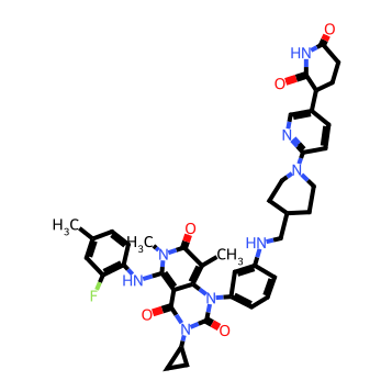 Cc1ccc(Nc2c3c(=O)n(C4CC4)c(=O)n(-c4cccc(NCC5CCN(c6ccc(C7CCC(=O)NC7=O)cn6)CC5)c4)c3c(C)c(=O)n2C)c(F)c1